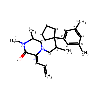 C=C/C=C1/C(=O)N(C)C(C)CN1CC(C)C1(c2cc(C)cc(C)c2)CCCC1